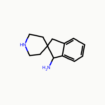 NC1c2ccccc2CC12CCNCC2